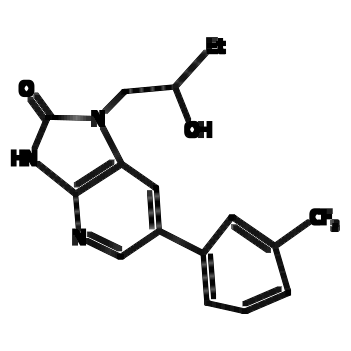 CCC(O)Cn1c(=O)[nH]c2ncc(-c3cccc(C(F)(F)F)c3)cc21